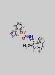 Cc1[nH]c2c(F)ccc(C)c2c1CCNC(=O)COc1ccccc1-c1ccno1